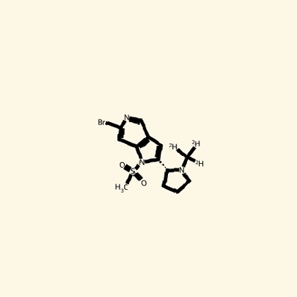 [2H]C([2H])([2H])N1CCC[C@@H]1c1cc2cnc(Br)cc2n1S(C)(=O)=O